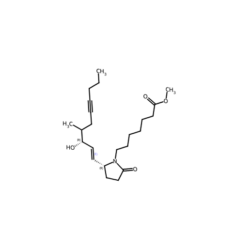 CCCC#CCC(C)[C@@H](O)/C=C/[C@H]1CCC(=O)N1CCCCCCC(=O)OC